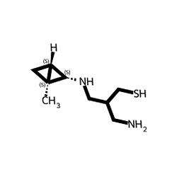 C[C@]12C[C@@H]1[C@@H]2NCC(CN)CS